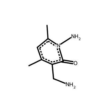 Cc1cc(C)n(N)c(=O)c1CN